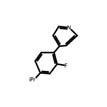 CC(C)c1ccc(-c2ccncc2)c(F)c1